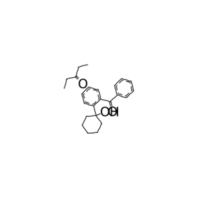 CCC(=O)CC.O=C(c1ccccc1)c1ccccc1C1(O)CCCCC1